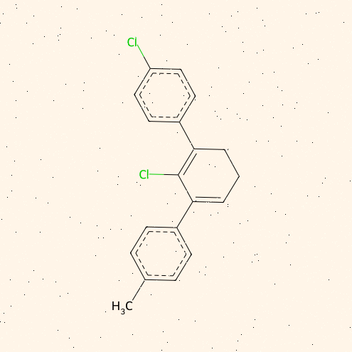 Cc1ccc(C2=CC[CH]C(c3ccc(Cl)cc3)=C2Cl)cc1